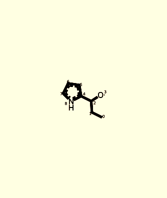 CCC([O])c1ccc[nH]1